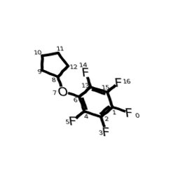 Fc1c(F)c(F)c(OC2CCCC2)c(F)c1F